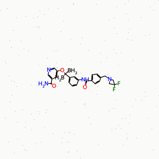 BC(B)(Oc1cncc(C(N)=O)c1)c1cccc(NC(=O)c2ccc(CN3CC(F)(F)C3)cc2)c1